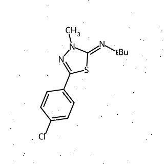 Cn1nc(-c2ccc(Cl)cc2)sc1=NC(C)(C)C